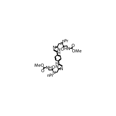 CCCN(Cc1ncc(-c2ccc(-c3cnc(CN(CCC)C(=O)CNC(=O)OC)[nH]3)cc2)[nH]1)C(=O)CNC(=O)OC